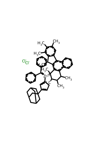 Cc1cc2c(c(C)c1C)C(C)c1c3c(c4ccccc4c1-2)C(C)C(C)C(C)[C]3(C)[Zr+2]([C]1=CC(C23CC4CC(CC(C4)C2)C3)=CC1)=[C](c1ccccc1)c1ccccc1.[Cl-].[Cl-]